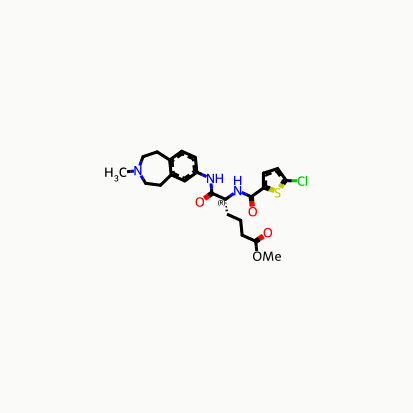 COC(=O)CCC[C@@H](NC(=O)c1ccc(Cl)s1)C(=O)Nc1ccc2c(c1)CCN(C)CC2